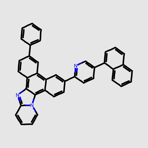 c1ccc(-c2ccc3c(c2)c2cc(-c4ccc(-c5cccc6ccccc56)cn4)ccc2c2c3nc3ccccn32)cc1